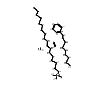 C=C.CCCCCCCCCCCCCCCCCC[N+](C)(C)C.CCCCCCCCCc1ccccc1.[Cl-]